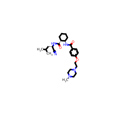 CC(C)C[C@@H](C#N)NC(=O)[C@@H]1CCCC[C@@H]1NC(=O)c1ccc(OCCN2CCN(C)CC2)cc1